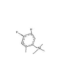 Cc1cc(F)c(F)cc1[Si](C)(C)C